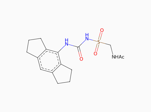 CC(=O)NCS(=O)(=O)NC(=O)Nc1c2c(cc3c1CCC3)CCC2